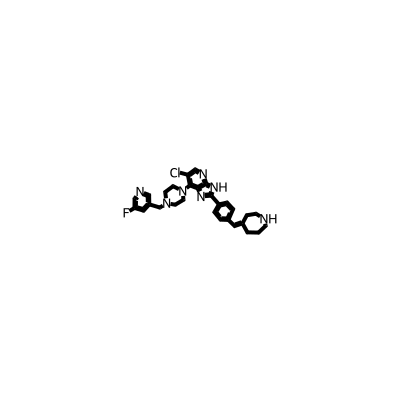 Fc1cncc(CN2CCN(c3c(Cl)cnc4[nH]c(-c5ccc(/C=C6/CCCNCC6)cc5)nc34)CC2)c1